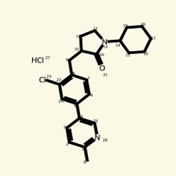 Cc1ccc(-c2ccc(CC3CCN(C4CCCCC4)C3=O)c(Cl)c2)cn1.Cl